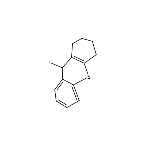 IC1C2=C(CCCC2)Sc2ccccc21